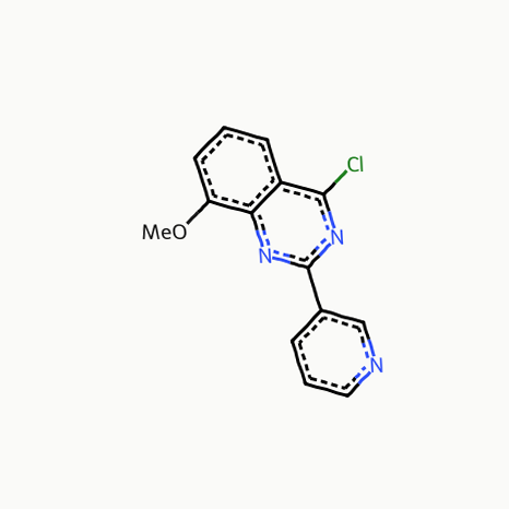 COc1cccc2c(Cl)nc(-c3cccnc3)nc12